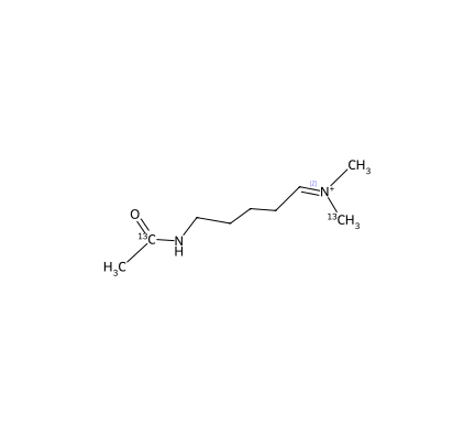 C[13C](=O)NCCCC/C=[N+](/C)[13CH3]